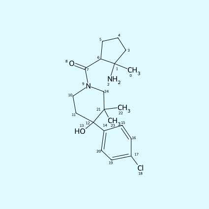 CC1(N)CCCC1C(=O)N1CCC(O)(c2ccc(Cl)cc2)C(C)(C)C1